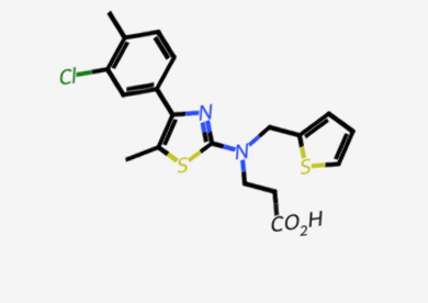 Cc1ccc(-c2nc(N(CCC(=O)O)Cc3cccs3)sc2C)cc1Cl